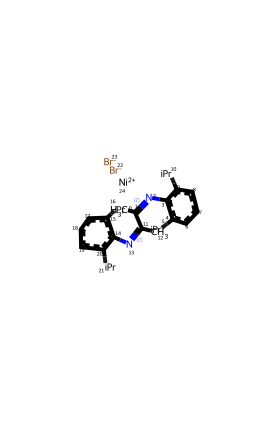 CC(=N/c1c(C(C)C)cccc1C(C)C)/C(C)=N\c1c(C(C)C)cccc1C(C)C.[Br-].[Br-].[Ni+2]